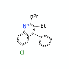 CCCc1nc2ccc(Cl)cc2c(-c2ccccc2)c1CC